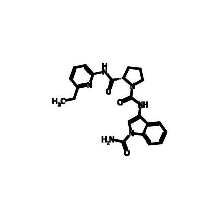 CCc1cccc(NC(=O)[C@@H]2CCCN2C(=O)Nc2cn(C(N)=O)c3ccccc23)n1